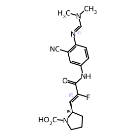 CN(C)/C=N/c1ccc(NC(=O)/C(F)=C/[C@H]2CCCN2C(=O)O)cc1C#N